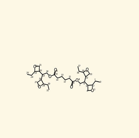 CCC1OCC1C(COC(=O)CCCCC(=O)OCC(C1COC1CC)C1COC1CC)C1COC1CC